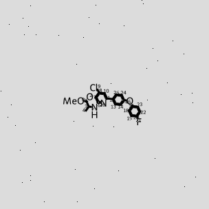 COC(=O)C(C)Nc1cc(Cl)cc(-c2ccc(Oc3ccc(F)cc3)cc2)n1